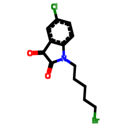 O=C1C(=O)N(CCCCCBr)c2ccc(Cl)cc21